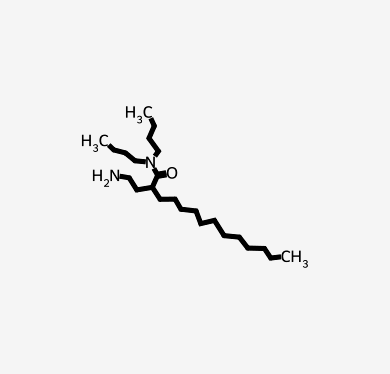 CCCCCCCCCCCCC(CCN)C(=O)N(CCCC)CCCC